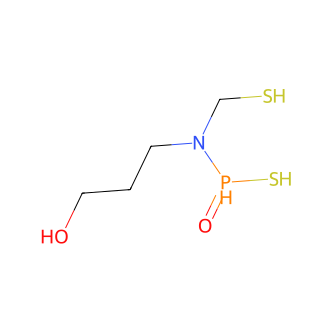 O=[PH](S)N(CS)CCCO